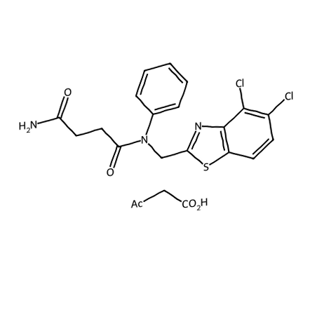 CC(=O)CC(=O)O.NC(=O)CCC(=O)N(Cc1nc2c(Cl)c(Cl)ccc2s1)c1ccccc1